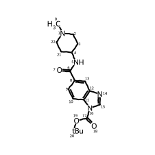 CN1CCC(NC(=O)c2ccc3c(c2)ncn3C(=O)OC(C)(C)C)CC1